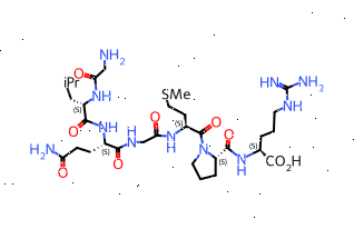 CSCC[C@H](NC(=O)CNC(=O)[C@H](CCC(N)=O)NC(=O)[C@H](CC(C)C)NC(=O)CN)C(=O)N1CCC[C@H]1C(=O)N[C@@H](CCCNC(=N)N)C(=O)O